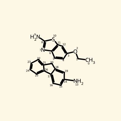 CCOc1ccc2nc(N)sc2c1.Nc1ccc2c(c1)Cc1ccccc1-2